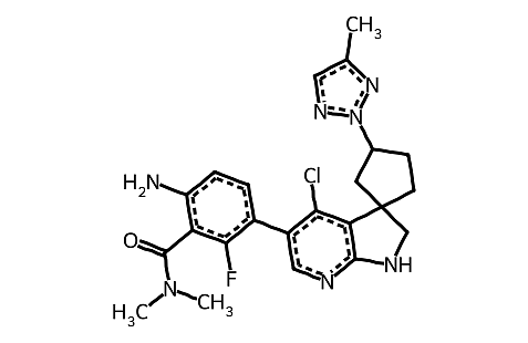 Cc1cnn(C2CCC3(CNc4ncc(-c5ccc(N)c(C(=O)N(C)C)c5F)c(Cl)c43)C2)n1